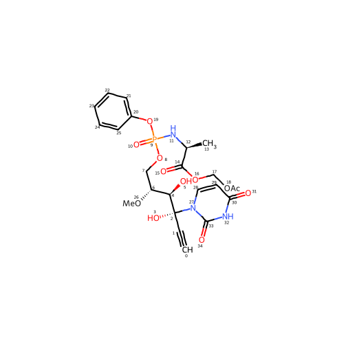 C#C[C@@](O)([C@H](O)[C@@H](COP(=O)(N[C@@H](C)C(=O)OCOC(C)=O)Oc1ccccc1)OC)n1ccc(=O)[nH]c1=O